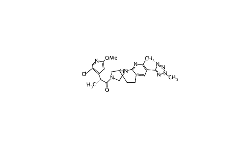 COc1cc([C@@H](C)C(=O)N2CCC3(CCc4cc(-c5nnn(C)n5)c(C)nc4N3)C2)c(Cl)cn1